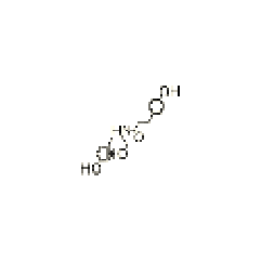 O=C(CCc1ccc(O)cc1)NC(CO)Cc1ccc(O)cc1